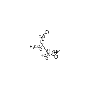 CCOC(=O)C(CCCCN[C@@H](CSc1ccccc1[N+](=O)[O-])C(=O)O)C1CCN(C(=O)OCc2ccccc2)CC1